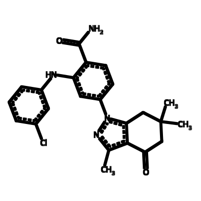 Cc1nn(-c2ccc(C(N)=O)c(Nc3cccc(Cl)c3)c2)c2c1C(=O)CC(C)(C)C2